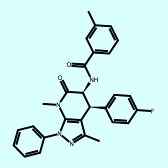 Cc1cccc(C(=O)N[C@@H]2C(=O)N(C)c3c(c(C)nn3-c3ccccc3)[C@@H]2c2ccc(F)cc2)c1